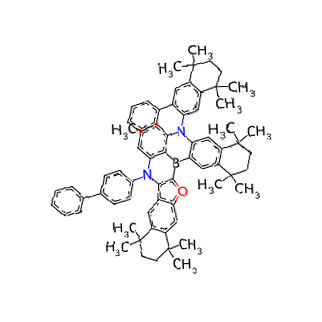 Cc1cc2c3c(c1)N(c1ccc(-c4ccccc4)cc1)c1c(oc4cc5c(cc14)C(C)(C)CCC5(C)C)B3c1cc3c(cc1N2c1cc2c(cc1-c1ccccc1)C(C)(C)CCC2(C)C)C(C)(C)CCC3(C)C